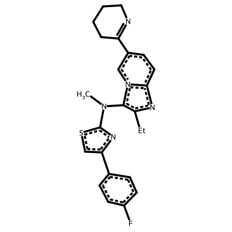 CCc1nc2ccc(C3=NCCCC3)cn2c1N(C)c1nc(-c2ccc(F)cc2)cs1